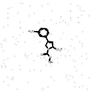 Cc1cccc(C2=CC(C(=O)O)N(C(=O)OC(C)(C)C)C2)c1